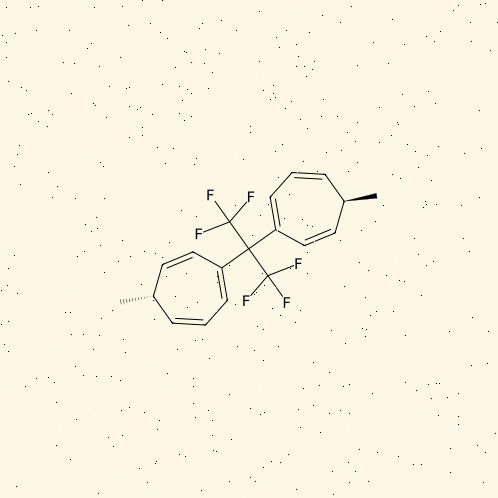 C[C@@H]1C=CC=C(C(C2=CC=C[C@H](C)C=C2)(C(F)(F)F)C(F)(F)F)C=C1